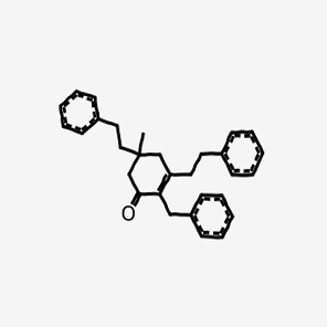 CC1(CCc2ccccc2)CC(=O)C(Cc2ccccc2)=C(CCc2ccccc2)C1